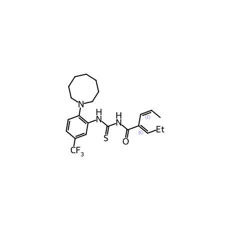 C/C=C\C(=C/CC)C(=O)NC(=S)Nc1cc(C(F)(F)F)ccc1N1CCCCCCC1